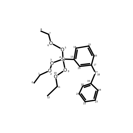 CCOO[Si](OOCC)(OOCC)c1cccc([I+]c2ccccc2)c1